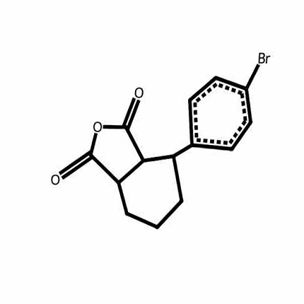 O=C1OC(=O)C2C1CCCC2c1ccc(Br)cc1